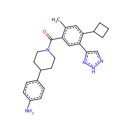 Cc1cc(C2CCC2)c(-c2cn[nH]n2)cc1C(=O)N1CCC(c2ccc(N)cc2)CC1